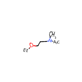 CCOCCCN(C)C(C)=O